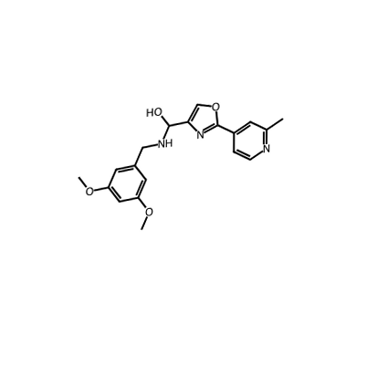 COc1cc(CNC(O)c2coc(-c3ccnc(C)c3)n2)cc(OC)c1